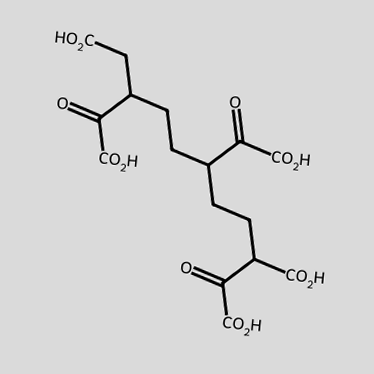 O=C(O)CC(CCC(CCC(C(=O)O)C(=O)C(=O)O)C(=O)C(=O)O)C(=O)C(=O)O